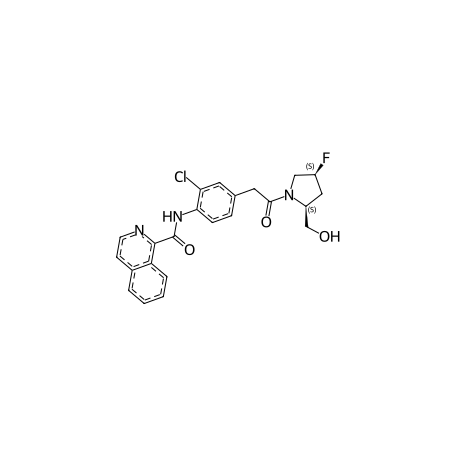 O=C(Nc1ccc(CC(=O)N2C[C@@H](F)C[C@H]2CO)cc1Cl)c1nccc2ccccc12